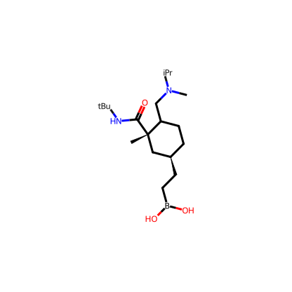 CC(C)N(C)CC1CC[C@@H](CCB(O)O)C[C@]1(C)C(=O)NC(C)(C)C